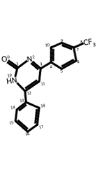 O=c1nc(-c2ccc(C(F)(F)F)cc2)cc(-c2ccccc2)[nH]1